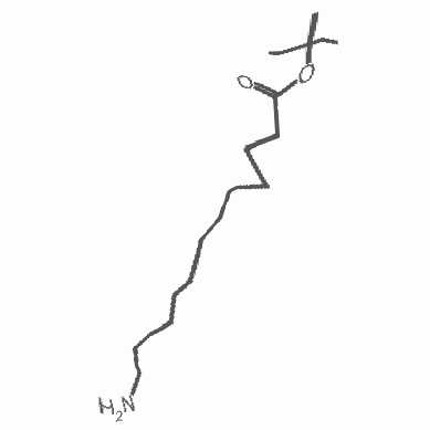 CC(C)(C)OC(=O)CCCCCCCCCCCN